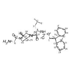 CC(C)C[C@H](NC(=O)OCC1c2ccccc2-c2ccccc21)C(=O)N1C[C@H]2N(C(=O)CN)CC21C